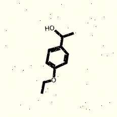 [CH2]C(O)c1ccc(OCC)cc1